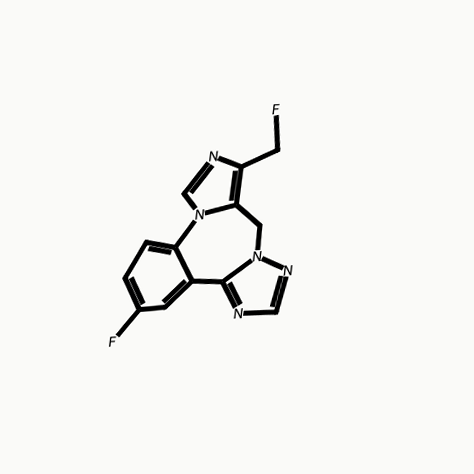 FCc1ncn2c1Cn1ncnc1-c1cc(F)ccc1-2